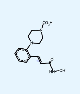 O=C(/C=C/c1ccccc1N1CCN(C(=O)O)CC1)NO